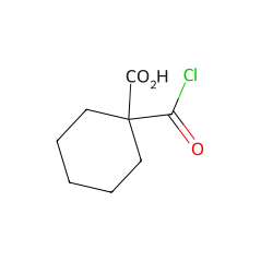 O=C(O)C1(C(=O)Cl)CCCCC1